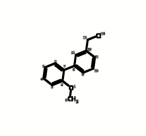 COc1ccccc1-c1cccc(CCl)c1